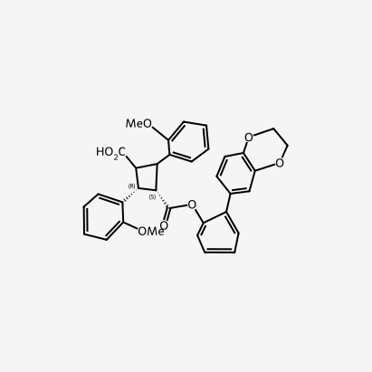 COc1ccccc1C1C(C(=O)O)[C@@H](c2ccccc2OC)[C@H]1C(=O)Oc1ccccc1-c1ccc2c(c1)OCCO2